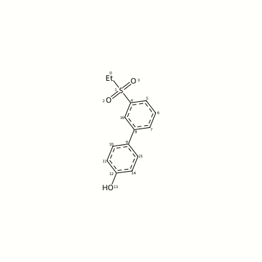 CCS(=O)(=O)c1cccc(-c2ccc(O)cc2)c1